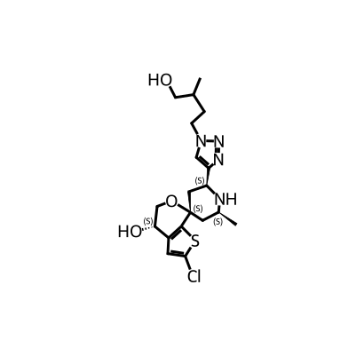 CC(CO)CCn1cc([C@@H]2C[C@]3(C[C@H](C)N2)OC[C@@H](O)c2cc(Cl)sc23)nn1